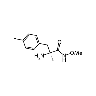 CONC(=O)[C@@](C)(N)Cc1ccc(F)cc1